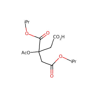 CC(=O)OC(CC(=O)O)(CC(=O)OC(C)C)C(=O)OC(C)C